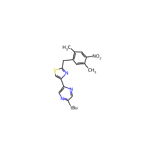 Cc1cc([N+](=O)[O-])c(C)cc1Cc1nc(-c2cnc(C(C)(C)C)cn2)cs1